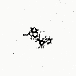 CCNc1cc(C(=O)N[C@@H](Cc2ccccc2)[C@@H](O)CN[C@@H](C)C(C)(C)C)cc(N2CCCCS2(O)O)c1.Cl